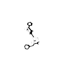 Cc1c(CC2CCCCC2)nc(SCc2n[nH]c(-c3ccc(F)cc3)c2Cl)[nH]c1=O